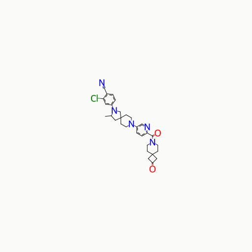 CC1CC2(CCN(c3ccc(C(=O)N4CCC5(CC4)CC(=O)C5)nc3)CC2)CN1c1ccc(C#N)c(Cl)c1